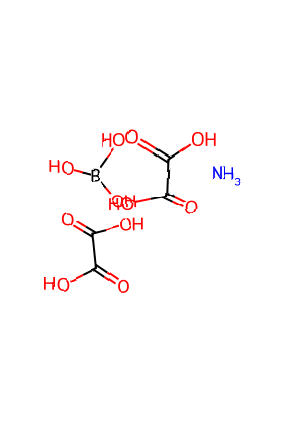 N.O=C(O)C(=O)O.O=C(O)C(=O)O.OB(O)O